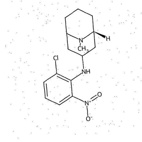 CN1C2CCC[C@@H]1CC(Nc1c(Cl)cccc1[N+](=O)[O-])C2